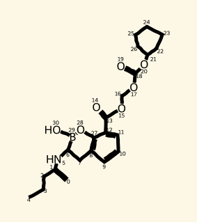 C=C(CCC)NC1Cc2cccc(C(=O)OCOC(=O)OC3CCCCC3)c2OB1O